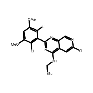 COc1cc(OC)c(Cl)c(-c2nc(NCC(C)(C)C)c3cc(Cl)ncc3n2)c1Cl